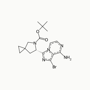 CC(C)(C)OC(=O)N1CC2(CC2)C[C@H]1c1nc(Br)c2c(N)nccn12